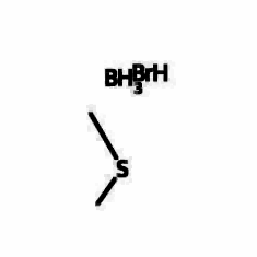 B.Br.CSC